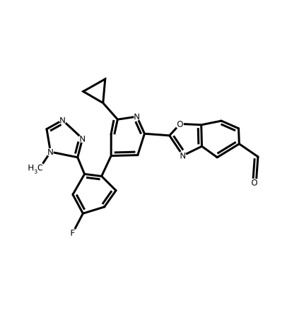 Cn1cnnc1-c1cc(F)ccc1-c1cc(-c2nc3cc(C=O)ccc3o2)nc(C2CC2)c1